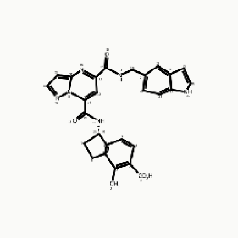 Cc1c(C(=O)O)ccc2c1CC[C@@H]2NC(=O)c1cc(C(=O)NCc2ccc3[nH]ccc3c2)nc2ccnn12